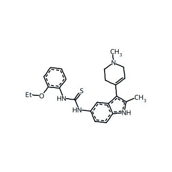 CCOc1ccccc1NC(=S)Nc1ccc2[nH]c(C)c(C3=CCN(C)CC3)c2c1